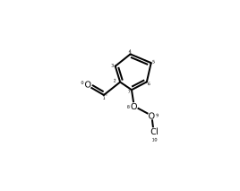 O=[C]c1ccccc1OOCl